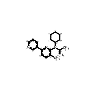 C=C(C)N(c1nc(-c2cccnc2)ccc1N)C1CCCCC1